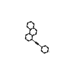 C(#Cc1cccc2c1ccc1ccccc12)c1cc[c]cc1